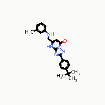 Cc1cccc(NCc2cc(=O)n3nc(-c4ccc(C(C)(C)C)cc4)nc3[nH]2)c1